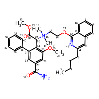 CCCCc1cc2ccccc2c(OCC[N+](C)(C)[C@@H](C(=O)OC)c2c(OC)cc(C(N)=O)cc2-c2ccccc2)n1